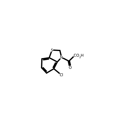 O=C(O)C(=O)N1CSc2cccc(Cl)c21